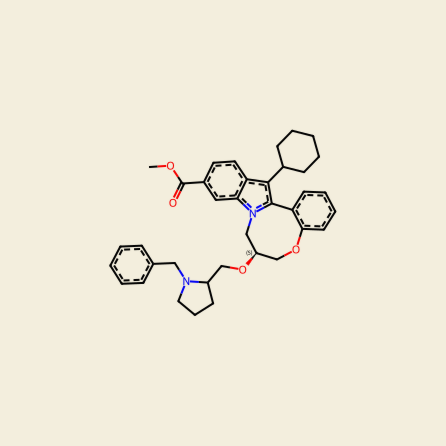 COC(=O)c1ccc2c(C3CCCCC3)c3n(c2c1)C[C@H](OCC1CCCN1Cc1ccccc1)COc1ccccc1-3